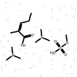 CCC=C(C)C(=O)O.CN(C)C.CN(C)C.COS(=O)(=O)O